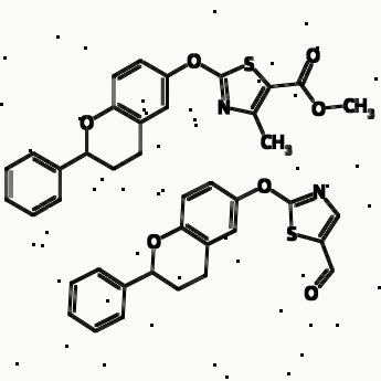 COC(=O)c1sc(Oc2ccc3c(c2)CCC(c2ccccc2)O3)nc1C.O=Cc1cnc(Oc2ccc3c(c2)CCC(c2ccccc2)O3)s1